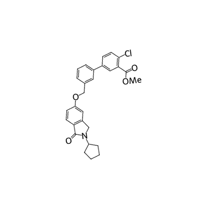 COC(=O)c1cc(-c2cccc(COc3ccc4c(c3)CN(C3CCCC3)C4=O)c2)ccc1Cl